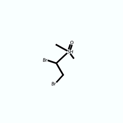 C[SH](C)(=O)C(Br)CBr